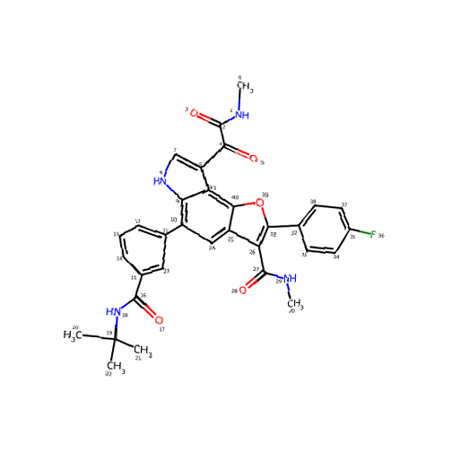 CNC(=O)C(=O)c1c[nH]c2c(-c3cccc(C(=O)NC(C)(C)C)c3)cc3c(C(=O)NC)c(-c4ccc(F)cc4)oc3c12